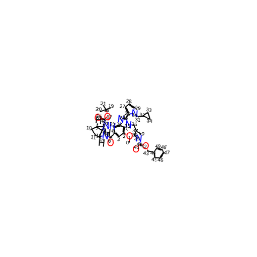 COc1cc(C(=O)N2C[C@H]3CC[C@@H]2[C@@H]3NC(=O)OC(C)(C)C)cc2nc(-c3cccn3CC3CC3)n(CC3CN(C(=O)OCc4ccccc4)C3)c12